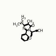 C#CC(=C=O)n1c(-c2ccccc2)nc(N(C)C)c(C)c1=O